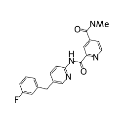 CNC(=O)c1ccnc(C(=O)Nc2ccc(Cc3cccc(F)c3)cn2)c1